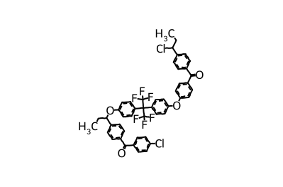 CCC(Cl)c1ccc(C(=O)c2ccc(Oc3ccc(C(c4ccc(OC(CC)c5ccc(C(=O)c6ccc(Cl)cc6)cc5)cc4)(C(F)(F)F)C(F)(F)F)cc3)cc2)cc1